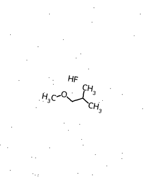 COCC(C)C.F